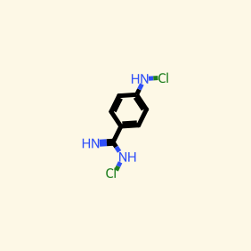 N=C(NCl)c1ccc(NCl)cc1